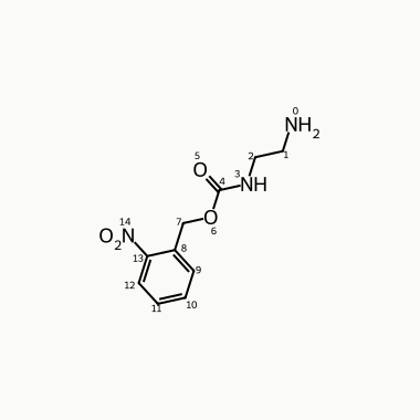 NCCNC(=O)OCc1ccccc1[N+](=O)[O-]